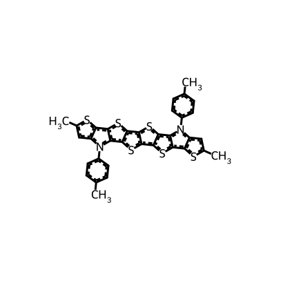 Cc1ccc(-n2c3cc(C)sc3c3sc4c5sc6c(sc7c8sc(C)cc8n(-c8ccc(C)cc8)c67)c5sc4c32)cc1